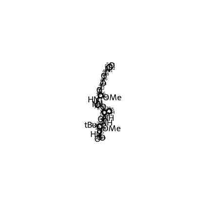 COc1cc(Nc2nccc(Oc3ccc(NC(=O)Nc4cc(C(C)(C)C)cc(CN[SH](=O)=O)c4OC)c4ccccc34)n2)cc(OCCOCCOCCN2CCOCC2)c1